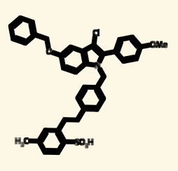 COc1ccc(-c2c(Cl)c3cc(OCc4ccccc4)ccc3n2Cc2ccc(CCc3cc(C)ccc3S(=O)(=O)O)cc2)cc1